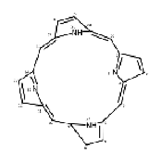 C1=CC2=NC1=CC1=CCC(C=C3C=CC(=N3)C=c3ccc([nH]3)=C2)N1